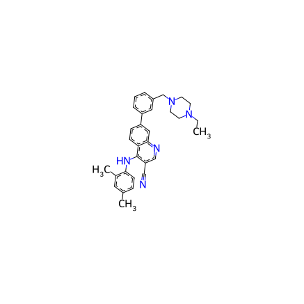 CCN1CCN(Cc2cccc(-c3ccc4c(Nc5ccc(C)cc5C)c(C#N)cnc4c3)c2)CC1